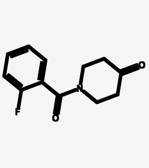 O=C1CCN(C(=O)c2ccccc2F)CC1